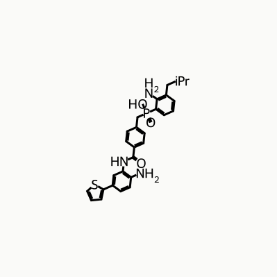 CC(C)Cc1cccc(P(=O)(O)Cc2ccc(C(=O)Nc3cc(-c4cccs4)ccc3N)cc2)c1N